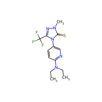 CCN(CC)c1ccc(-n2c(C(F)(F)F)nn(C)c2=S)cn1